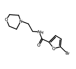 O=C(NCCN1CCOCC1)c1ccc(Br)o1